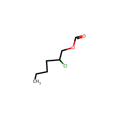 CCCCC(Cl)COC=O